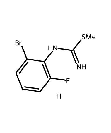 CSC(=N)Nc1c(F)cccc1Br.I